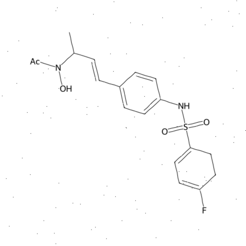 CC(=O)N(O)C(C)/C=C/c1ccc(NS(=O)(=O)C2=CC=C(F)CC2)cc1